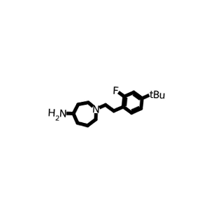 CC(C)(C)c1ccc(CCN2CCCC(N)CC2)c(F)c1